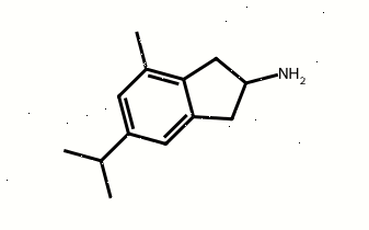 Cc1cc(C(C)C)cc2c1CC(N)C2